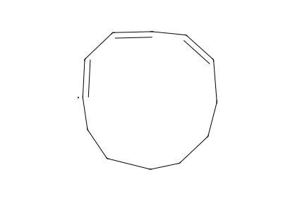 [C]1=CC=CC=CCCCCCC1